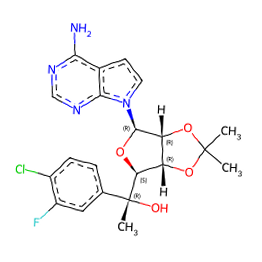 CC1(C)O[C@@H]2[C@H](O1)[C@@H]([C@](C)(O)c1ccc(Cl)c(F)c1)O[C@H]2n1ccc2c(N)ncnc21